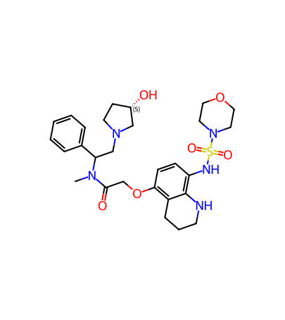 CN(C(=O)COc1ccc(NS(=O)(=O)N2CCOCC2)c2c1CCCN2)C(CN1CC[C@H](O)C1)c1ccccc1